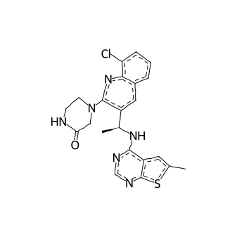 Cc1cc2c(N[C@@H](C)c3cc4cccc(Cl)c4nc3N3CCNC(=O)C3)ncnc2s1